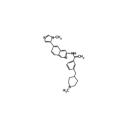 C=C(Nc1cc2cc(-c3cncn3C)ccc2cn1)c1cccc(CC2CCN(C)CC2)c1